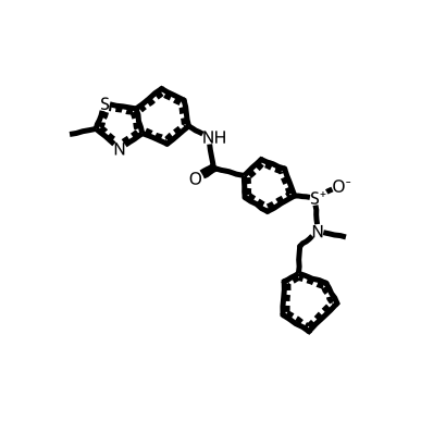 Cc1nc2cc(NC(=O)c3ccc([S+]([O-])N(C)Cc4ccccc4)cc3)ccc2s1